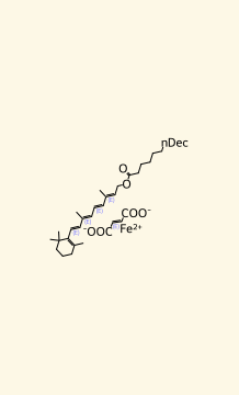 CCCCCCCCCCCCCCCC(=O)OC/C=C(C)/C=C/C=C(C)/C=C/C1=C(C)CCCC1(C)C.O=C([O-])/C=C/C(=O)[O-].[Fe+2]